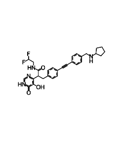 O=C(NCC(F)F)C(Cc1ccc(C#Cc2ccc(CNC3CCCC3)cc2)cc1)c1nc[nH]c(=O)c1O